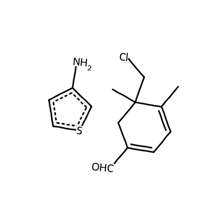 CC1=CC=C(C=O)CC1(C)CCl.Nc1ccsc1